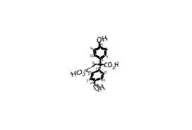 O=C(O)CC(C(=O)O)(c1ccc(O)cc1)c1ccc(O)cc1